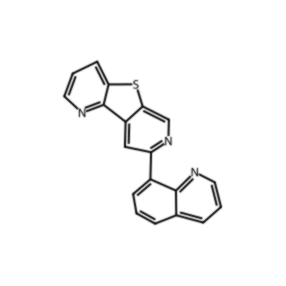 c1cnc2c(-c3cc4c(cn3)sc3cccnc34)cccc2c1